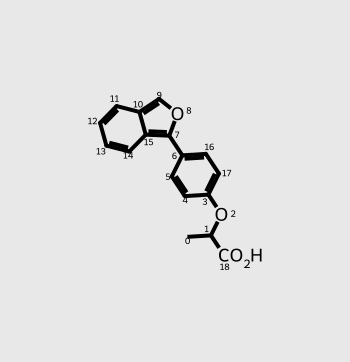 CC(Oc1ccc(-c2occ3ccccc23)cc1)C(=O)O